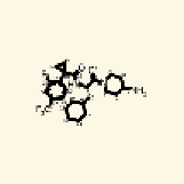 NC1CCN(C(=O)[C@H](CC2CCCCC2)NC(=O)C2(c3ccc(C(F)(F)F)cc3F)CC2)CC1